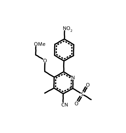 COCOCc1c(-c2ccc([N+](=O)[O-])cc2)nc(S(C)(=O)=O)c(C#N)c1C